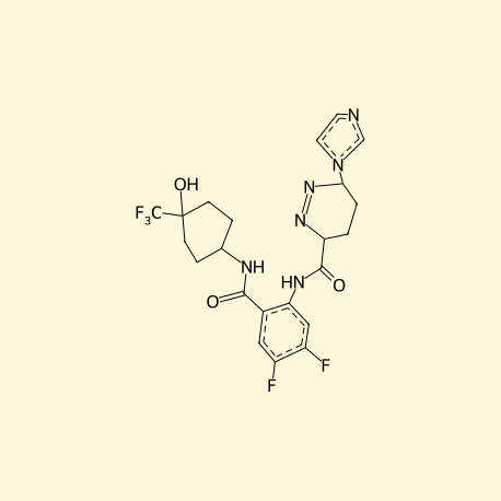 O=C(NC1CCC(O)(C(F)(F)F)CC1)c1cc(F)c(F)cc1NC(=O)C1CCC(n2ccnc2)N=N1